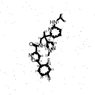 CC(C)Nc1cccc(C(C)(CNC(=O)c2cc(-c3ccc(F)cc3F)on2)c2cnn(C)c2)n1